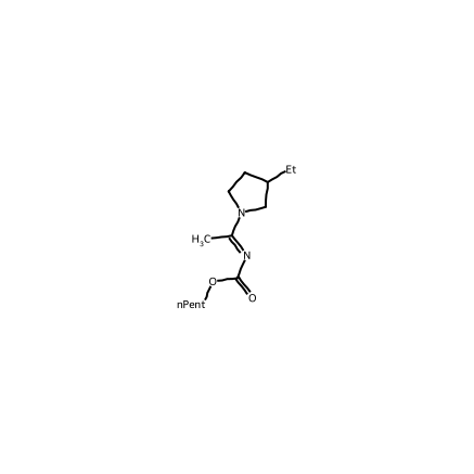 [CH2]CC1CCN(C(C)=NC(=O)OCCCCC)C1